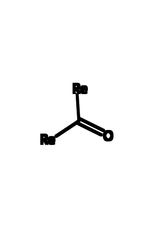 O=[C]([Re])[Re]